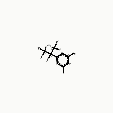 Cc1[c]c(C(F)(C(F)(F)F)C(F)(F)F)cc(C)c1